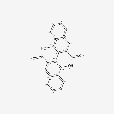 O=Cc1cc2ccccc2c(O)c1-c1c(C=O)cc2ccccc2c1O